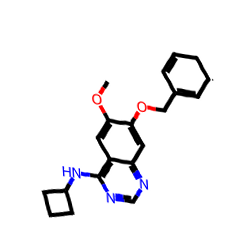 COc1cc2c(NC3CCC3)ncnc2cc1OCC1=C[CH]CC=C1